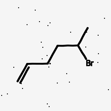 C=C[CH]CC(C)Br